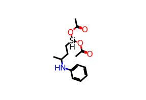 CC(=O)O[SiH](CCC(C)Nc1ccccc1)OC(C)=O